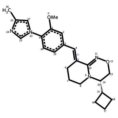 COc1cc(/C=C2\CCCN3C2=NOC[C@@H]3C2CCC2)ccc1-n1cnc(C)c1